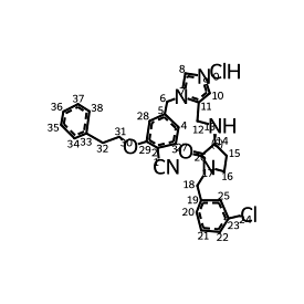 Cl.N#Cc1ccc(Cn2cncc2CN[C@H]2CCN(Cc3cccc(Cl)c3)C2=O)cc1OCCc1ccccc1